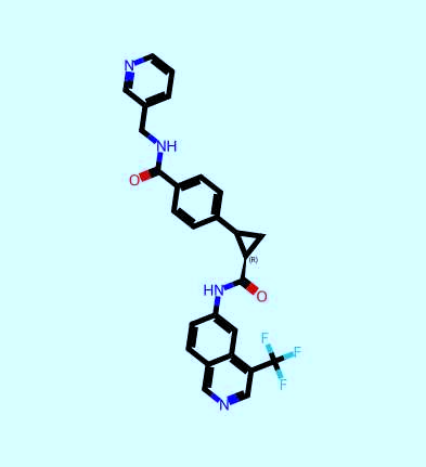 O=C(NCc1cccnc1)c1ccc(C2C[C@H]2C(=O)Nc2ccc3cncc(C(F)(F)F)c3c2)cc1